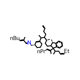 C=CCCC(C(C)C1=C[C@H](C/N=C/C(C)=C/CCCC)CCC1)[C@@H](C)CCC1[C@@H](C)c2ccccc2C1(/C(C)=C/CCC)C(C)C/C=C\CC